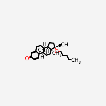 C#C[C@]1(OCCCCC)CC[C@H]2[C@@H]3CCC4=CC(=O)C=C[C@]4(C)[C@H]3CC[C@@]21C